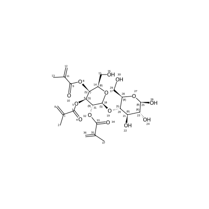 C=C(C)C(=O)O[C@H]1[C@@H](OC(=O)C(=C)C)[C@@H](CO)O[C@@H](O[C@H]2[C@H](O)[C@@H](O)[C@H](O)O[C@@H]2CO)[C@@H]1OC(=O)C(=C)C